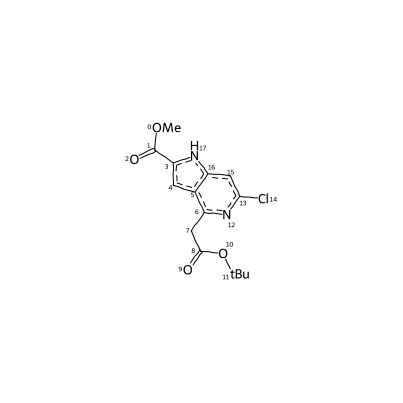 COC(=O)c1cc2c(CC(=O)OC(C)(C)C)nc(Cl)cc2[nH]1